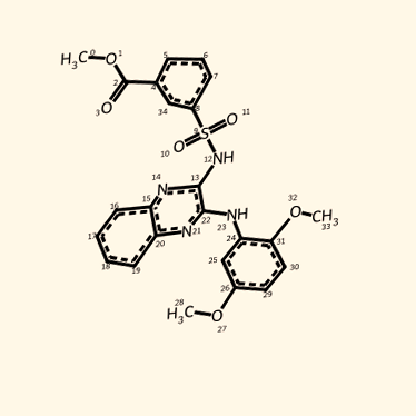 COC(=O)c1cccc(S(=O)(=O)Nc2nc3ccccc3nc2Nc2cc(OC)ccc2OC)c1